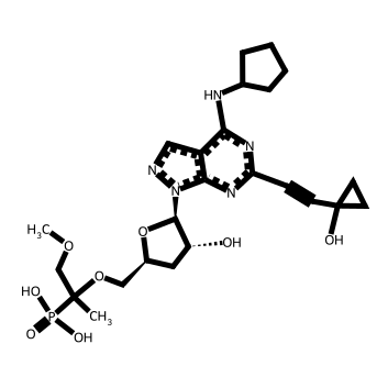 COCC(C)(OC[C@@H]1C[C@@H](O)[C@H](n2ncc3c(NC4CCCC4)nc(C#CC4(O)CC4)nc32)O1)P(=O)(O)O